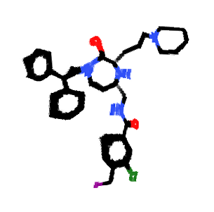 O=C(NC[C@@H]1CCN(CC(c2ccccc2)c2ccccc2)C(=O)[C@H](CCCN2CCCCC2)N1)c1ccc(CI)c(Cl)c1